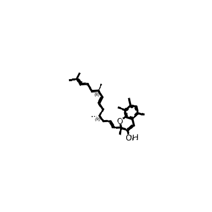 CC(C)=CCC[C@@H](C)C=CC[C@@H](C)CC=CC1(C)Oc2c(C)c(C)cc(C)c2C=C1O